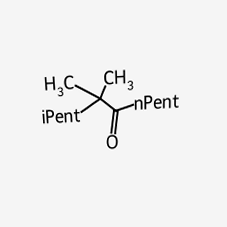 [CH2]CCCCC(=O)C(C)(C)C(C)CCC